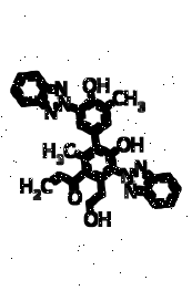 C=CC(=O)c1c(C)c(-c2cc(C)c(O)c(-n3nc4ccccc4n3)c2)c(O)c(-n2nc3ccccc3n2)c1CCO